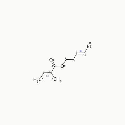 C/C=C(\C)C(=O)OCC/C=C/CC